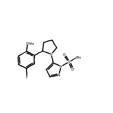 COc1ccc(F)cc1C1CCCN1c1ccnn1S(=O)(=O)C(C)(C)C